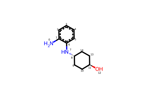 Nc1ccccc1N[C@H]1CC[C@H](O)CC1